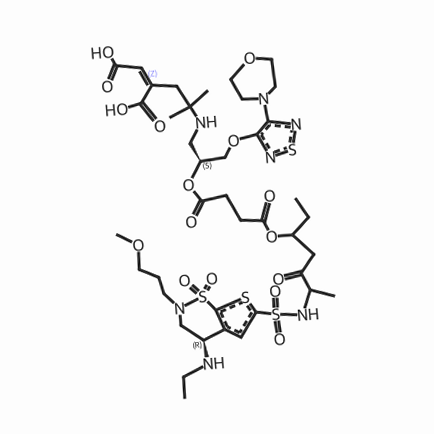 CCN[C@H]1CN(CCCOC)S(=O)(=O)c2sc(S(=O)(=O)NC(C)C(=O)CC(CC)OC(=O)CCC(=O)O[C@@H](CNC(C)(C)C/C(=C/C(=O)O)C(=O)O)COc3nsnc3N3CCOCC3)cc21